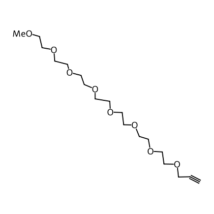 C#CCOCCOCCOCCOCCOCCOCCOCCOC